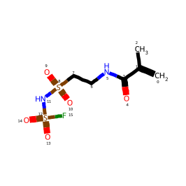 C=C(C)C(=O)NCCS(=O)(=O)NS(=O)(=O)F